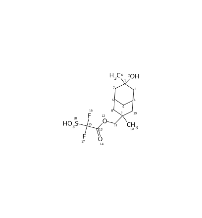 CC1(O)CC2CC(C1)CC(C)(COC(=O)C(F)(F)S(=O)(=O)O)C2